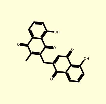 CC1=C(CC2=CC(=O)c3c(O)cccc3C2=O)C(=O)c2c(O)cccc2C1=O